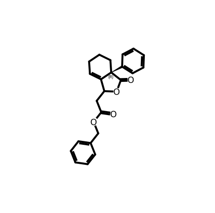 O=C(CC1OC(=O)[C@@]2(c3ccccc3)CCCC=C12)OCc1ccccc1